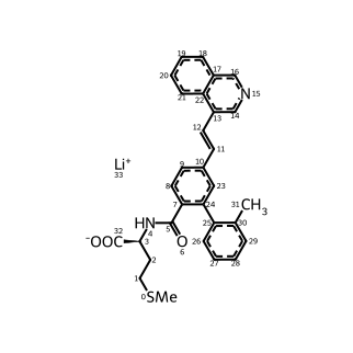 CSCC[C@H](NC(=O)c1ccc(C=Cc2cncc3ccccc23)cc1-c1ccccc1C)C(=O)[O-].[Li+]